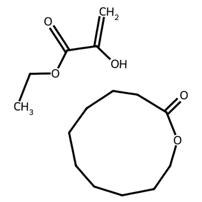 C=C(O)C(=O)OCC.O=C1CCCCCCCCCO1